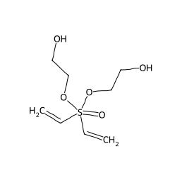 C=CS(=O)(C=C)(OCCO)OCCO